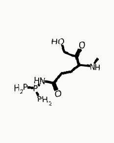 CNC(CCC(=O)NP(P)P)C(=O)CO